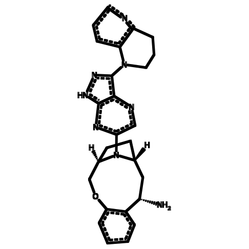 N[C@H]1C[C@H]2CC[C@H](COc3ccccc31)N2c1cnc2c(N3CCCc4ncccc43)n[nH]c2n1